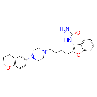 NC(=O)Nc1c(CCCCN2CCN(c3ccc4c(c3)CCCO4)CC2)oc2ccccc12